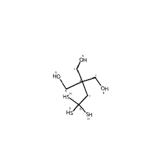 OCC(CO)(CO)CC(S)(S)S